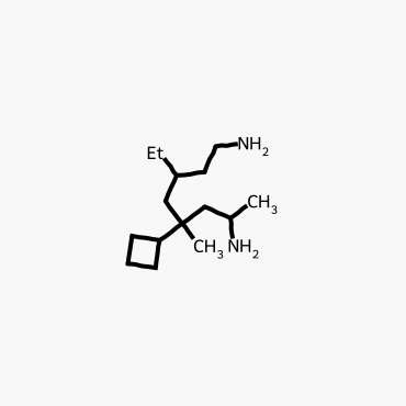 CCC(CCN)CC(C)(CC(C)N)C1CCC1